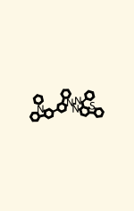 c1ccc(-c2nc(-n3c4ccccc4c4cc(-c5ccc6c7ccccc7n(-c7ccccc7)c6c5)ccc43)nc3ccc4c5ccccc5sc4c23)cc1